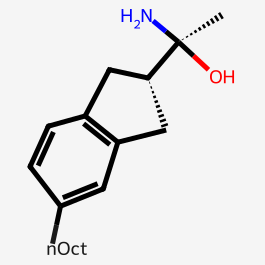 CCCCCCCCc1ccc2c(c1)C[C@@H]([C@@](C)(N)O)C2